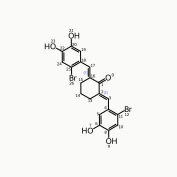 O=C1/C(=C/c2cc(O)c(O)cc2Br)CCC/C1=C\c1cc(O)c(O)cc1Br